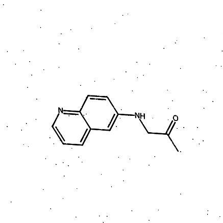 [CH2]C(=O)CNc1ccc2ncccc2c1